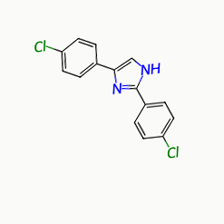 Clc1ccc(-c2c[nH]c(-c3ccc(Cl)cc3)n2)cc1